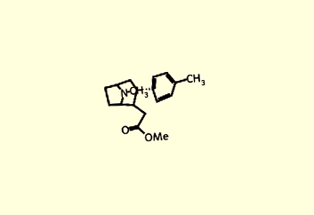 COC(=O)CC1C2CCC(C[C@@H]1c1ccc(C)cc1)N2C